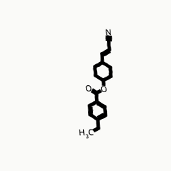 CCc1ccc(C(=O)OC2CCC(/C=C/C#N)CC2)cc1